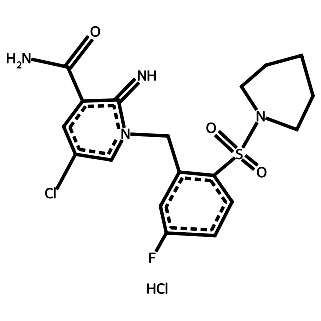 Cl.N=c1c(C(N)=O)cc(Cl)cn1Cc1cc(F)ccc1S(=O)(=O)N1CCCCC1